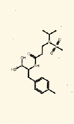 Cc1ccc(CC(NC(=O)CCN(C(C)C)S(C)(=O)=O)B(O)O)cc1